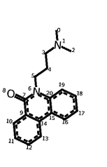 CN(C)CCCn1c(=O)c2ccccc2c2ccccc21